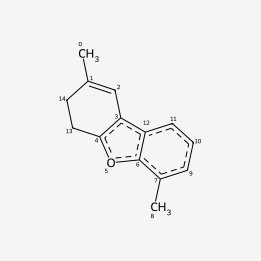 CC1=Cc2c(oc3c(C)cccc23)CC1